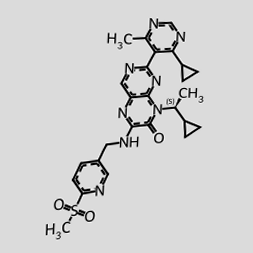 Cc1ncnc(C2CC2)c1-c1ncc2nc(NCc3ccc(S(C)(=O)=O)nc3)c(=O)n([C@@H](C)C3CC3)c2n1